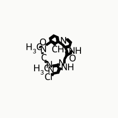 Cc1c2cccc1-c1nccc3[nH]c(=O)c(cc13)-c1nc3c(nc(Cl)cc3[nH]1)N(C)CCCN(C)C2=O